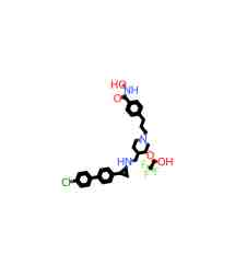 O=C(NO)c1ccc(CCCN2CCC(CNC3CC3c3ccc(-c4ccc(Cl)cc4)cc3)CC2)cc1.O=C(O)C(F)(F)F